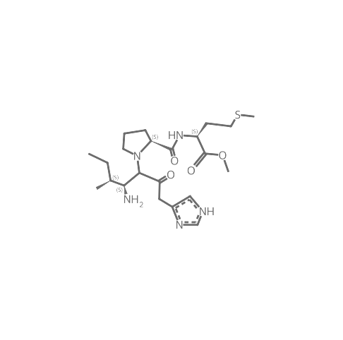 CC[C@H](C)[C@H](N)C(C(=O)Cc1c[nH]cn1)N1CCC[C@H]1C(=O)N[C@@H](CCSC)C(=O)OC